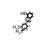 C[C@H]1C[C@@H](c2nc3cccc(O)c3s2)CCN1C